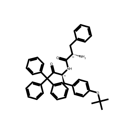 CC(C)(C)Oc1ccc(C[C@H](NC(=O)[C@@H](N)Cc2ccccc2)C(=O)C(c2ccccc2)(c2ccccc2)c2ccccc2)cc1